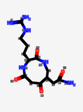 N=C(N)NCCC[C@@H]1NC(=O)CC(=O)C(CC(N)=O)CNC1=O